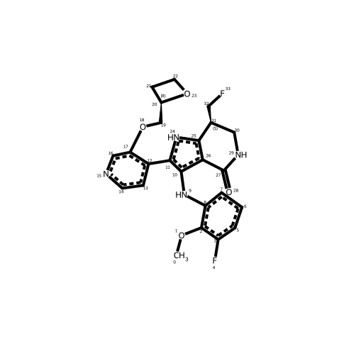 COc1c(F)cccc1Nc1c(-c2ccncc2OC[C@H]2CCO2)[nH]c2c1C(=O)NC[C@@H]2CF